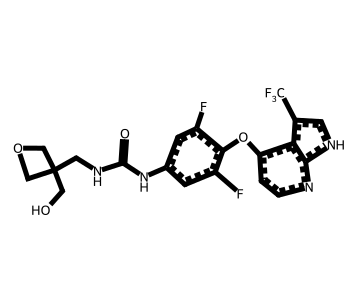 O=C(NCC1(CO)COC1)Nc1cc(F)c(Oc2ccnc3[nH]cc(C(F)(F)F)c23)c(F)c1